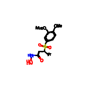 COc1ccc(S(=O)(=O)C(CC(=O)NO)C(C)C)cc1OC